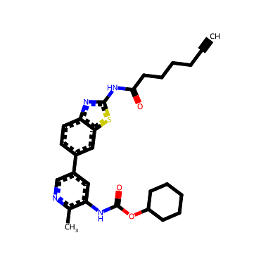 C#CCCCCC(=O)Nc1nc2ccc(-c3cnc(C)c(NC(=O)OC4CCCCC4)c3)cc2s1